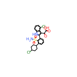 NS(=O)(=O)c1c(-c2[nH]c3cccc(Cl)c3c2C(=O)C(=O)O)cccc1C1CCC(Cl)CC1